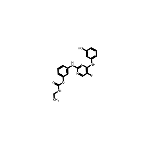 CCNC(=O)Oc1cccc(Nc2ncc(F)c(Nc3cccc(O)c3)n2)c1